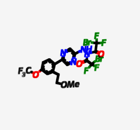 COCCc1cc(OC(F)(F)F)ccc1-c1cnc(NN(C(=O)C(F)(F)Br)C(=O)C(F)(F)Br)cn1